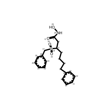 O=C(CC(CCCCc1ccccc1)S(=O)(=O)Cc1ccccc1)NO